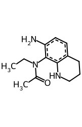 CCN(C(C)=O)c1c(N)ccc2c1NCCC2